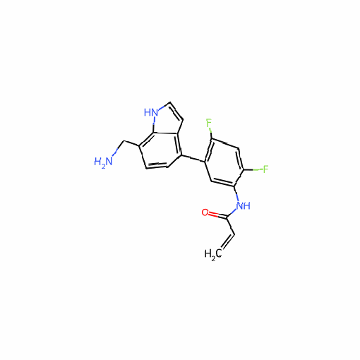 C=CC(=O)Nc1cc(-c2ccc(CN)c3[nH]ccc23)c(F)cc1F